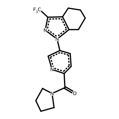 O=C(c1ccc(-n2nc(C(F)(F)F)c3c2CCCC3)cn1)N1CCCC1